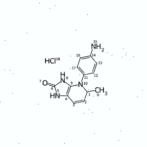 CC1C=Cc2[nH]c(=O)[nH]c2N1c1ccc(N)cc1.Cl